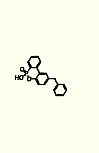 O=P1(O)Oc2ccc(Cc3ccccc3)cc2-c2ccccc21